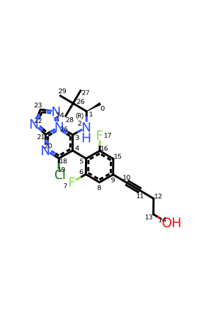 C[C@@H](Nc1c(-c2c(F)cc(C#CCCO)cc2F)c(Cl)nc2ncnn12)C(C)(C)C